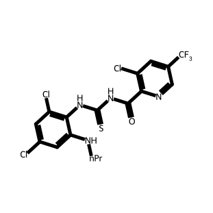 CCCNc1cc(Cl)cc(Cl)c1NC(=S)NC(=O)c1ncc(C(F)(F)F)cc1Cl